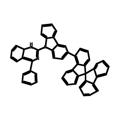 C1=CC2=C(c3ccccc3)N=C(n3c4ccccc4c4cc(-c5cccc6c5-c5ccccc5C65c6ccccc6-c6ccccc65)ccc43)NC2C=C1